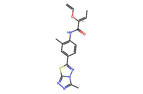 C=CO/C(=C\C)C(=O)Nc1ccc(-c2nn3c(C)nnc3s2)cc1C